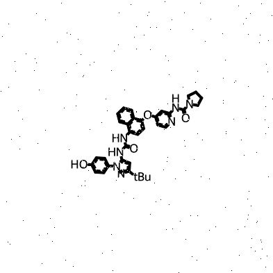 CC(C)(C)c1cc(NC(=O)Nc2ccc(Oc3ccnc(NC(=O)N4CCCC4)c3)c3ccccc23)n(-c2ccc(O)cc2)n1